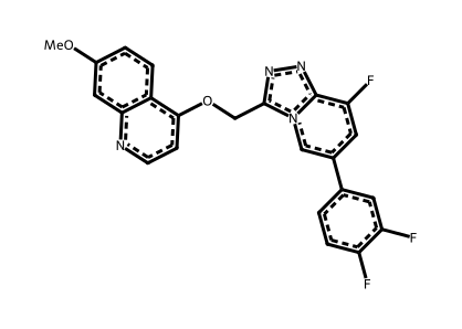 COc1ccc2c(OCc3nnc4c(F)cc(-c5ccc(F)c(F)c5)cn34)ccnc2c1